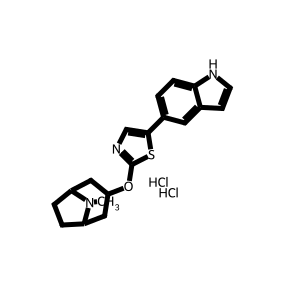 CN1C2CCC1CC(Oc1ncc(-c3ccc4[nH]ccc4c3)s1)C2.Cl.Cl